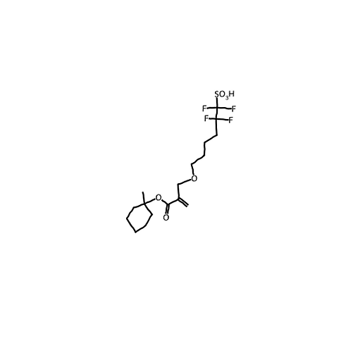 C=C(COCCCCC(F)(F)C(F)(F)S(=O)(=O)O)C(=O)OC1(C)CCCCC1